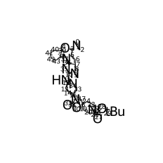 CN(C)C(=O)c1cc2cnc(Nc3ccc(N4CC5(CC6CCC(C5)N6C(=O)OC(C)(C)C)OC4=O)cn3)nc2n1C1CCCCC1